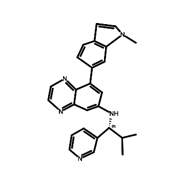 CC(C)[C@@H](Nc1cc(-c2ccc3ccn(C)c3c2)c2nccnc2c1)c1cccnc1